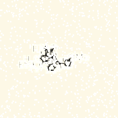 CCOC(=O)C1=C(C)Nc2c(c(NNC(=O)c3cccc(OC)c3)nc(=O)n2C)[C@@H]1c1ccccc1